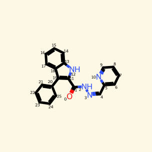 O=C(N/N=C\c1ccccn1)c1[nH]c2ccccc2c1-c1ccccc1